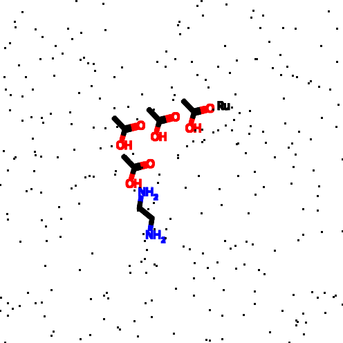 CC(=O)O.CC(=O)O.CC(=O)O.CC(=O)O.NCCN.[Ru]